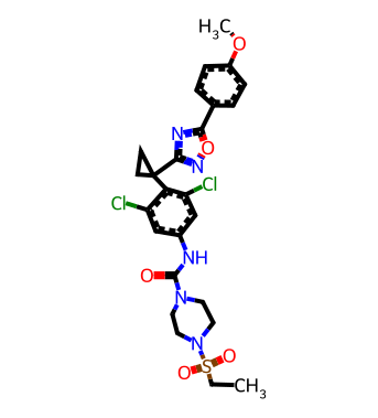 CCS(=O)(=O)N1CCN(C(=O)Nc2cc(Cl)c(C3(c4noc(-c5ccc(OC)cc5)n4)CC3)c(Cl)c2)CC1